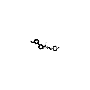 CCc1cccc(-c2cccc(C(=O)NCCN3CCN(C)CC3)c2)c1